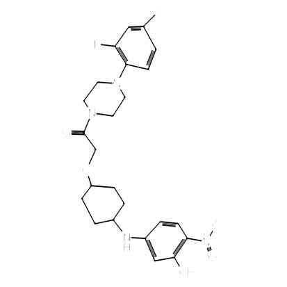 Cc1cc(NC2CCC(OCC(=O)N3CCN(c4ccc(Cl)cc4F)CC3)CC2)ccc1[N+](=O)[O-]